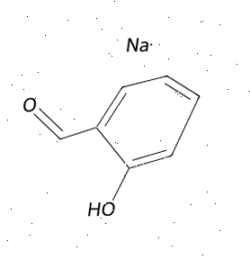 O=Cc1ccccc1O.[Na]